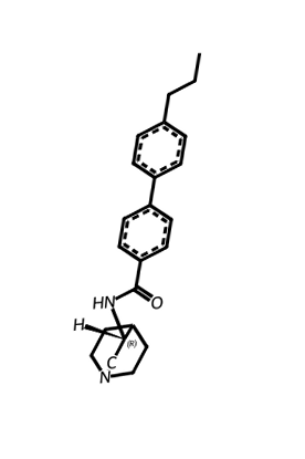 CCCc1ccc(-c2ccc(C(=O)N[C@H]3CN4CCC3CC4)cc2)cc1